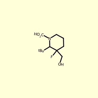 CC(C)(C)C1N(C(=O)O)CCCC1(F)CO